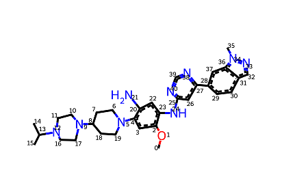 COc1cc(N2CCC(N3CCN(C(C)C)CC3)CC2)c(N)cc1Nc1cc(-c2ccc3cnn(C)c3c2)ncn1